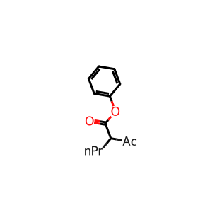 CCCC(C(C)=O)C(=O)Oc1ccccc1